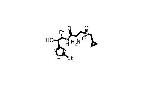 CCc1nc(C(O)[C@H](CC)NC(=O)[C@@H](N)CS(=O)(=O)CC2CC2)no1